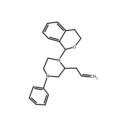 C=CCC1CN(c2ccccc2)CCN1C1OCCc2ccccc21